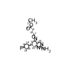 CCOC(=O)CCCON=C1CC(c2ccc(F)cc2)Cc2nc(N)ncc21